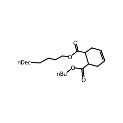 CCCCCCCCCCCCCCOC(=O)C1CC=CCC1C(=O)OCCCC